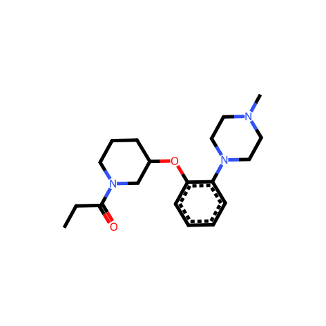 CCC(=O)N1CCCC(Oc2ccccc2N2CCN(C)CC2)C1